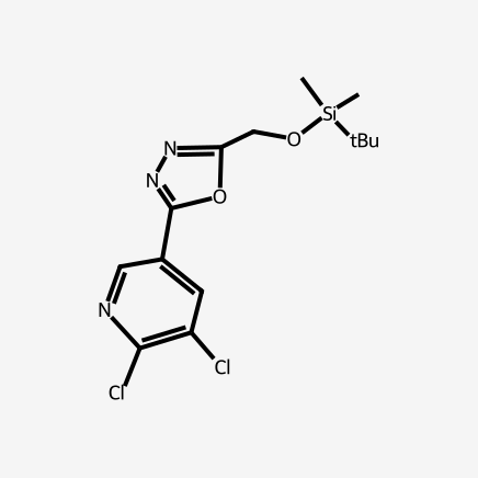 CC(C)(C)[Si](C)(C)OCc1nnc(-c2cnc(Cl)c(Cl)c2)o1